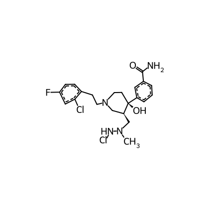 CN(C[C@H]1CN(CCc2ccc(F)cc2Cl)CC[C@]1(O)c1cccc(C(N)=O)c1)NCl